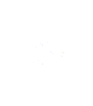 Cc1cc(C(=O)N(C)C(CN2CCC(F)(F)CC2)C(C)C)ccc1F